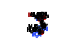 Cc1nc(Nc2cccc(CCNC(=O)[C@H](C)N(C)C(=O)/C=C/CBr)c2)c(C(N)=O)nc1C